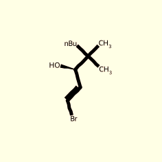 CCCCC(C)(C)[C@H](O)/C=C/Br